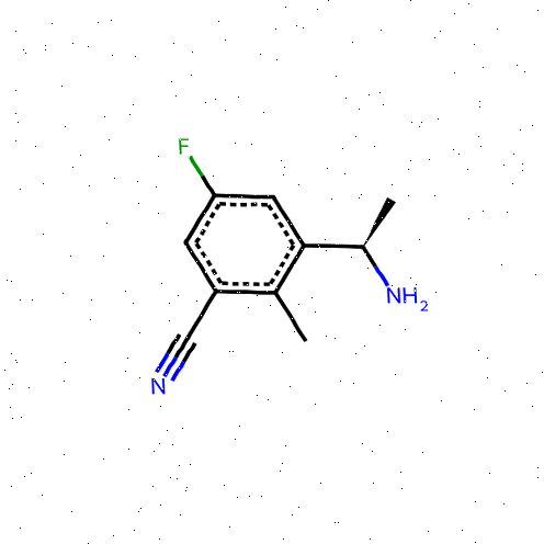 Cc1c(C#N)cc(F)cc1[C@@H](C)N